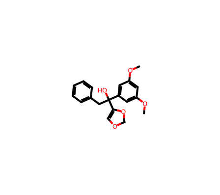 COc1cc(OC)cc(C(O)(Cc2ccccc2)C2=COCO2)c1